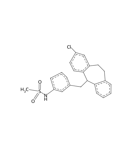 CS(=O)(=O)Nc1cccc(CC2c3ccccc3CCc3cc(Cl)ccc32)c1